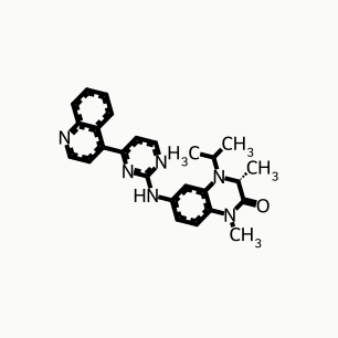 CC(C)N1c2cc(Nc3nccc(-c4ccnc5ccccc45)n3)ccc2N(C)C(=O)[C@H]1C